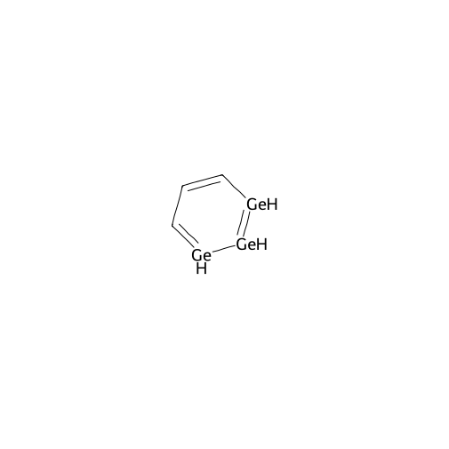 C1=[CH][GeH]=[GeH][GeH]=[CH]1